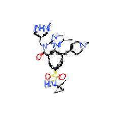 C[C@@H]1CN=C2N(Cc3cnn(C)c3)C(=O)c3cc(S(=O)(=O)NC4(C)CC4)cc(C4=CCN(C)CC4)c3N21